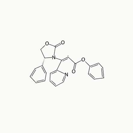 O=C([C]=C(c1ccccn1)N1C(=O)OC[C@H]1c1ccccc1)Oc1ccccc1